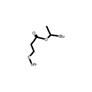 CCCSCCC(=O)OC(C)C(C)(C)C